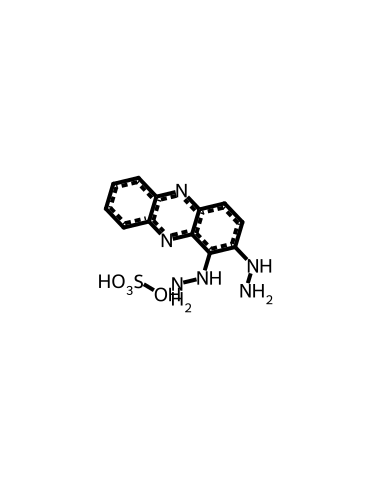 NNc1ccc2nc3ccccc3nc2c1NN.O=S(=O)(O)O